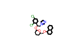 Clc1ccc(C(Cn2ccnc2)O[C@H]2CCC[C@H](COc3cccc4ccccc34)O2)c(Cl)c1